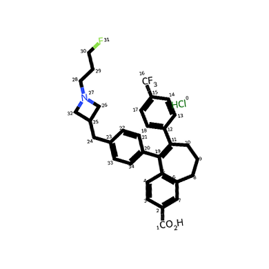 Cl.O=C(O)c1ccc2c(c1)CCCC(c1ccc(C(F)(F)F)cc1)=C2c1ccc(CC2CN(CCCF)C2)cc1